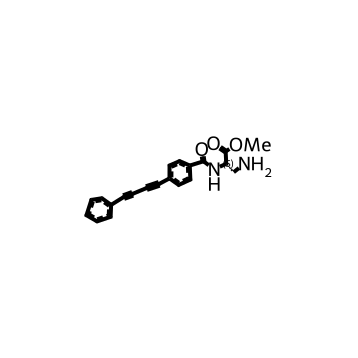 COC(=O)[C@H](CN)NC(=O)c1ccc(C#CC#Cc2ccccc2)cc1